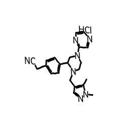 Cc1c(CN2CCN(c3cnccn3)CC2c2ccc(CC#N)cc2)cnn1C.Cl